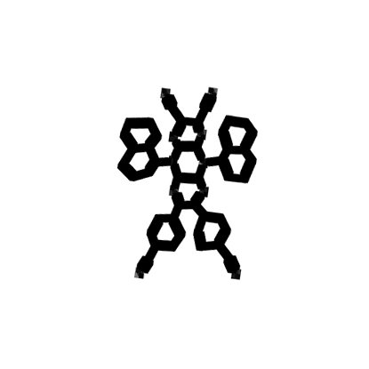 N#Cc1ccc(-c2nc3c(nc2-c2ccc(C#N)cc2)N(c2cccc4ccccc24)c2nc(C#N)c(C#N)nc2N3c2cccc3ccccc23)cc1